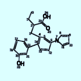 CCC(Cc1cc(-n2cccc2)ccc1-c1cccc(O)c1)C(=O)O